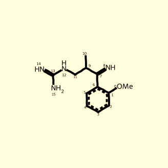 COc1ccccc1C(=N)C(C)CNC(=N)N